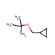 CC(C)(C)OCC1CC1